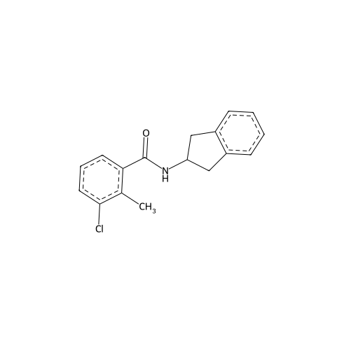 Cc1c(Cl)cccc1C(=O)NC1Cc2ccccc2C1